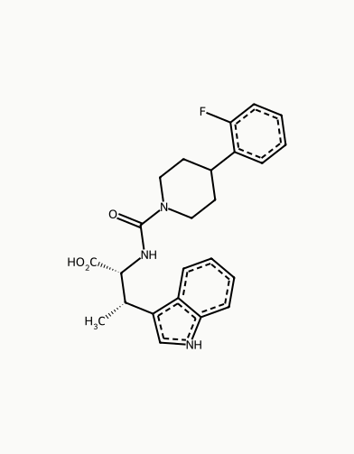 C[C@@H](c1c[nH]c2ccccc12)[C@@H](NC(=O)N1CCC(c2ccccc2F)CC1)C(=O)O